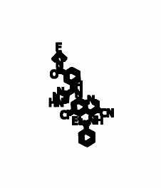 CC[C@@H](Nc1c(C#N)cnc2c(N[C@@H](c3cccc(C(=O)N4CC(F)C4)c3)c3c[nH]nn3)cc(Cl)cc12)c1ccccc1